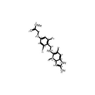 COC(=O)COc1cc(F)c(CNC2=C(C)C=C3NC(O)=NC3N2C)c(F)c1